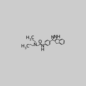 CCCN(CCC)CC(=O)Nc1ccc(-c2n[nH]c3c2Cc2ccccc2-3)cc1